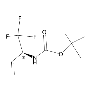 C=C[C@H](NC(=O)OC(C)(C)C)C(F)(F)F